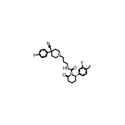 N#CC1(c2ccc(F)cc2)CCN(CCCNC(=O)N2C(=O)CCC[C@@H]2c2ccc(F)c(F)c2)CC1